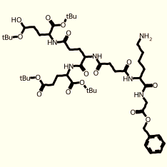 CC(C)(C)OC(=O)CCC(NC(=O)C(CCC(=O)NC(CCC(O)OC(C)(C)C)C(=O)OC(C)(C)C)NC(=O)CCC(=O)NC(CCCCN)C(=O)NCC(=O)OCc1ccccc1)C(=O)OC(C)(C)C